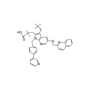 CC(C)(C)Sc1c(CC(C)(C)C(=O)O)n(Cc2ccc(-c3cccnc3)cc2)c2ncc(OCc3ccc4ccccc4n3)cc12